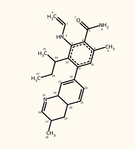 C=CNc1c(C(N)=O)c(C)cc(C2=CC3N=CC(C)CC3C=C2)c1C(C)CC